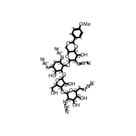 COc1ccc(C2OCC3OC(OC4C(N=[N+]=[N-])CC(N=[N+]=[N-])C(O)C4OC4OC(CO)C(OC5OC(CN=[N+]=[N-])C(O)C(O)C5N=[N+]=[N-])C4O)C(N=[N+]=[N-])C(O)C3O2)cc1